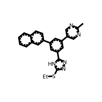 CCSc1nnc(-c2cc(-c3cnc(C)nc3)cc(-c3ccc4ccccc4c3)c2)[nH]1